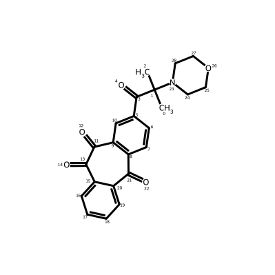 CC(C)(C(=O)c1ccc2c(c1)C(=O)C(=O)c1ccccc1C2=O)N1CCOCC1